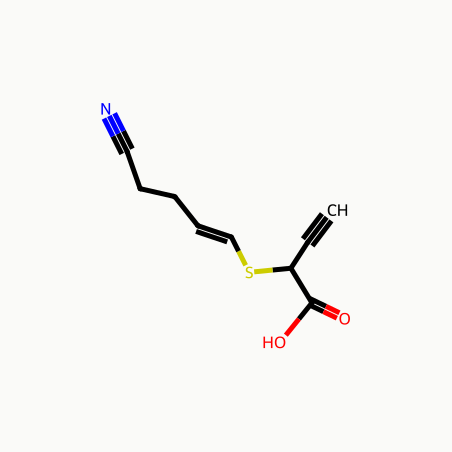 C#CC(SC=CCCC#N)C(=O)O